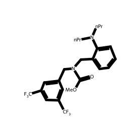 CCCN(CCC)c1ccccc1CN(Cc1cc(C(F)(F)F)cc(C(F)(F)F)c1)C(=O)OC